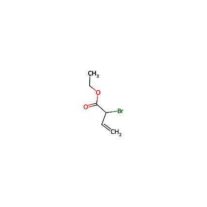 C=CC(Br)C(=O)OCC